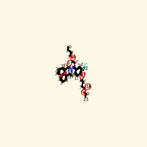 CCCCOC(=O)C[C@@H](c1ccc(OCCCC(=O)OCC)c(F)c1)N(Cc1ccccc1)C(C)c1ccccc1